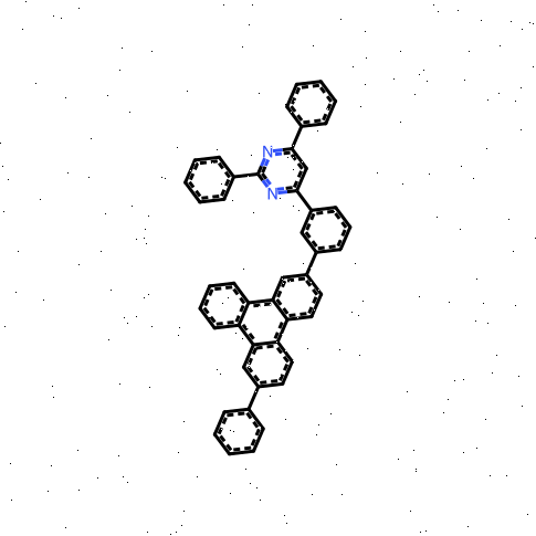 c1ccc(-c2ccc3c4ccc(-c5cccc(-c6cc(-c7ccccc7)nc(-c7ccccc7)n6)c5)cc4c4ccccc4c3c2)cc1